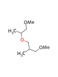 COCC(C)COC(C)COC